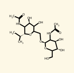 CC(=O)NC1[C@@H](O)C(O)C(CO[C@@H]2OC(CO)[C@@H](O)[C@H](O)C2NC(C)=O)O[C@@H]1C(C)C